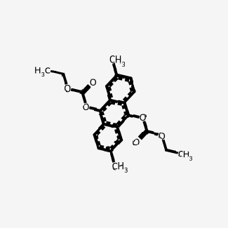 CCOC(=O)Oc1c2ccc(C)cc2c(OC(=O)OCC)c2ccc(C)cc12